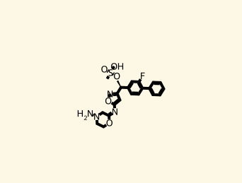 CS(=O)(=O)O.C[C@@H](c1ccc(-c2ccccc2)c(F)c1)c1cc(N=C2CN(N)CCO2)on1